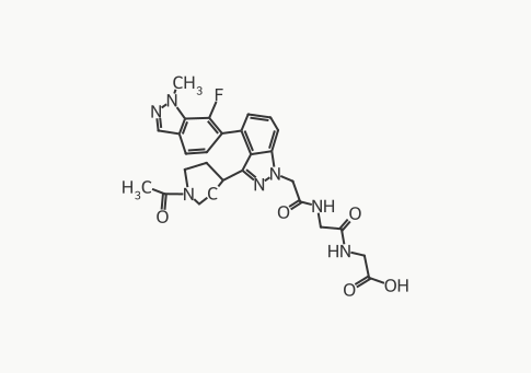 CC(=O)N1CCC(c2nn(CC(=O)NCC(=O)NCC(=O)O)c3cccc(-c4ccc5cnn(C)c5c4F)c23)CC1